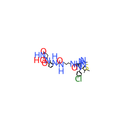 Cc1sc2c(c1C)C(c1ccc(Cl)cc1)=N[C@@H](CC(=O)NCCCCNC(=O)CNc1cccc3c1CN(C1CCC(=O)NC1O)C3=O)c1nnc(C)n1-2